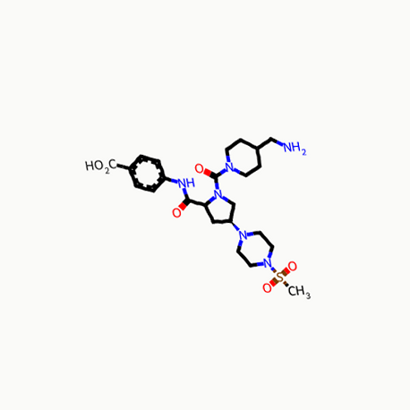 CS(=O)(=O)N1CCN([C@H]2CC(C(=O)Nc3ccc(C(=O)O)cc3)N(C(=O)N3CCC(CN)CC3)C2)CC1